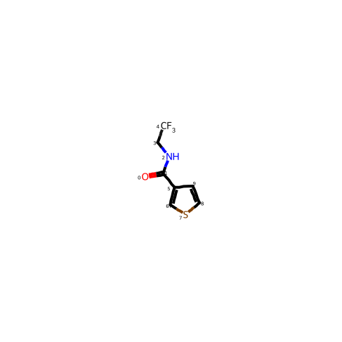 O=C(NCC(F)(F)F)c1[c]scc1